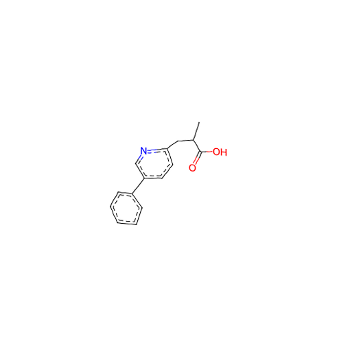 CC(Cc1ccc(-c2ccccc2)cn1)C(=O)O